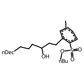 CCCCCCCCCCCCCC(O)CCc1cc(C)ccc1S(=O)(=O)OCCCC